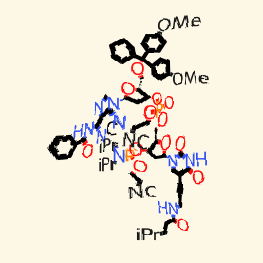 [C-]#[N+]CCOP(O[C@@H]1C[C@H](n2cc(C#CCNC(=O)CCC(C)C)c(=O)[nH]c2=O)O[C@@H]1COP(=O)(OCC[N+]#[C-])O[C@@H]1C[C@H](n2cnc3c(NC(=O)c4ccccc4)ncnc32)O[C@@H]1COC(c1ccccc1)(c1ccc(OC)cc1)c1ccc(OC)cc1)N(C(C)C)C(C)C